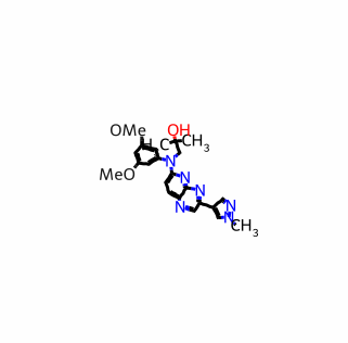 COc1cc(OC)cc(N(CC(C)(C)O)c2ccc3ncc(-c4cnn(C)c4)nc3n2)c1